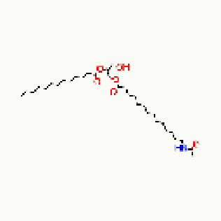 CCCCCCCCCCCCC(=O)O[C@@H](CO)COC(=O)CCCCCCCCCCCCCNC(C)=O